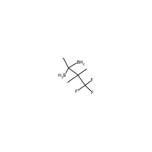 BC(B)(C)C(C)(C)C(F)(F)F